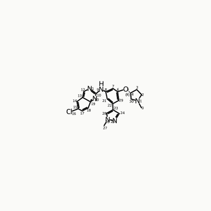 CN1CC[C@@H](Oc2cc(Nc3ncc4cc(Cl)ccc4n3)cc(-c3cnn(C)c3)c2)C1